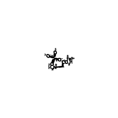 NCC(=O)O.O=S(=O)([O-])[O-].[Fe+2]